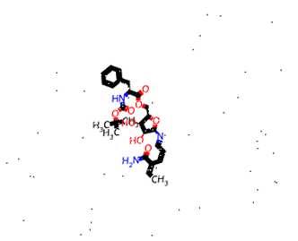 C\C=C(/C=C\C=N\[C@@H]1O[C@H](COC(=O)[C@H](Cc2ccccc2)NC(=O)OC(C)(C)C)[C@@H](O)[C@H]1O)C(N)=O